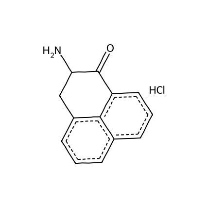 Cl.NC1Cc2cccc3cccc(c23)C1=O